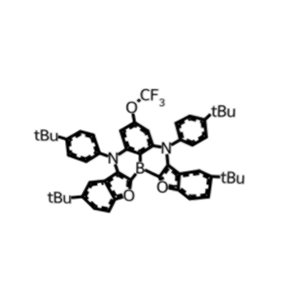 CC(C)(C)c1ccc(N2c3cc(OC(F)(F)F)cc4c3B(c3oc5ccc(C(C)(C)C)cc5c32)c2oc3ccc(C(C)(C)C)cc3c2N4c2ccc(C(C)(C)C)cc2)cc1